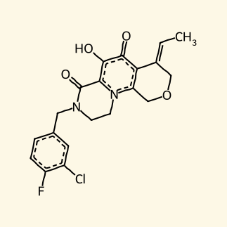 C/C=C1\COCc2c1c(=O)c(O)c1n2CCN(Cc2ccc(F)c(Cl)c2)C1=O